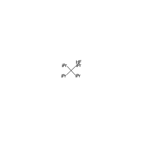 CC(C)C(C(C)C)(C(C)C)C(C)C.F